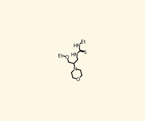 CCNC(=S)NCC(COCC)N1CCOCC1